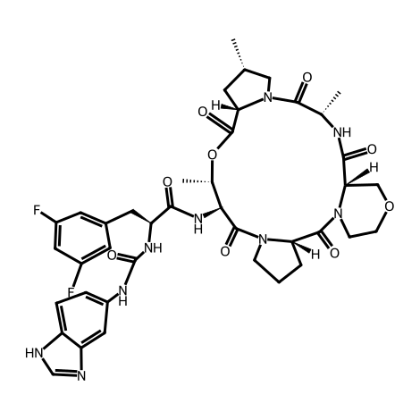 C[C@H]1C[C@H]2C(=O)O[C@@H](C)[C@H](NC(=O)[C@H](Cc3cc(F)cc(F)c3)NC(=O)Nc3ccc4[nH]cnc4c3)C(=O)N3CCC[C@H]3C(=O)N3CCOC[C@H]3C(=O)N[C@@H](C)C(=O)N2C1